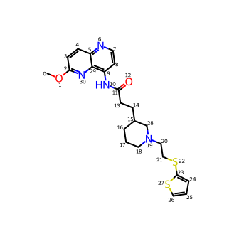 COc1ccc2nccc(NC(=O)CCC3CCCN(CCSc4cccs4)C3)c2n1